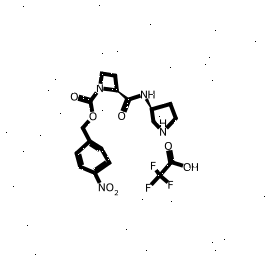 O=C(N[C@H]1CCNC1)[C@@H]1CCN1C(=O)OCc1ccc([N+](=O)[O-])cc1.O=C(O)C(F)(F)F